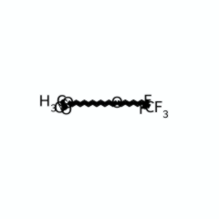 CS(=O)(=O)OCCCCCCCCCCCOCCCCCCC(F)(F)C(F)(F)F